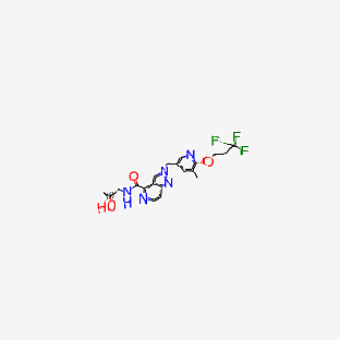 Cc1cc(Cn2cc3c(C(=O)NC[C@H](C)O)nccc3n2)cnc1OCCC(F)(F)F